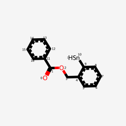 O=C(OCc1cccc[c]1[SnH])c1ccccc1